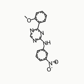 COc1ccccc1-c1ncnc(Nc2cccc([N+](=O)[O-])c2)n1